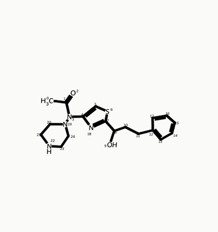 CC(=O)N(c1csc(C(O)CCc2ccccc2)n1)N1CCNCC1